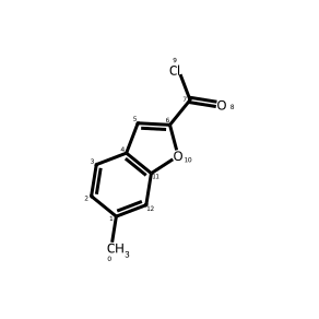 Cc1ccc2cc(C(=O)Cl)oc2c1